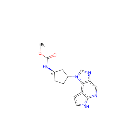 CC(C)(C)OC(=O)N[C@@H]1CCC(n2cnc3cnc4[nH]ccc4c32)C1